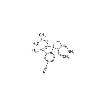 C=CN1/C(=C\N)CCC1(C(=O)OC(C)C)c1ccc(C#N)cc1OC